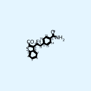 CCOC(=O)c1sc2ccccc2c1CCc1ccc(C(N)=O)cc1